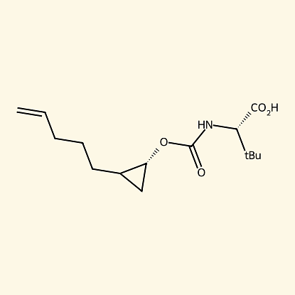 C=CCCCC1C[C@H]1OC(=O)N[C@H](C(=O)O)C(C)(C)C